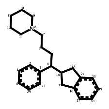 c1ccc(C(CCCN2CCCCC2)C2Cc3ccccc3C2)cc1